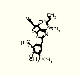 C=CCN(C)c1nc(Cc2cc(OC)c(OC)c(OC)c2)nc2sc(C#N)c(C)c12